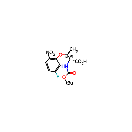 C[C@H](Oc1cc(F)ccc1[N+](=O)[O-])[C@@H](NC(=O)OC(C)(C)C)C(=O)O